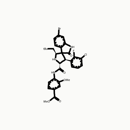 COC(=O)c1ccc(NC(=O)[C@@H]2N[C@@H](CC(C)(C)C)C3(C(=O)Nc4cc(Br)ccc43)[C@H]2c2cccc(Cl)c2F)c(OC)c1